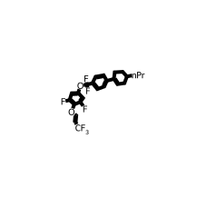 CCCC1CC=C(c2ccc(C(F)(F)Oc3cc(F)c(O/C=C/C(F)(F)F)c(F)c3)cc2)CC1